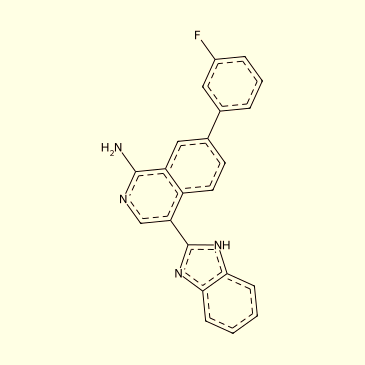 Nc1ncc(-c2nc3ccccc3[nH]2)c2ccc(-c3cccc(F)c3)cc12